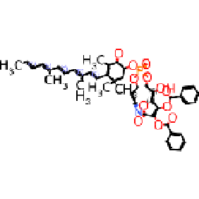 C/C=C/C=C(C)/C=C/C=C(C)/C=C/C1=C(C)C(=O)C(OP(=O)(OCCC#N)OC[C@H](O)[C@H]2OC(=O)C(OC(=O)c3ccccc3)=C2OC(=O)c2ccccc2)CC1(C)C